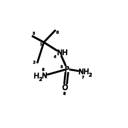 CC(C)(C)NP(N)(N)=O